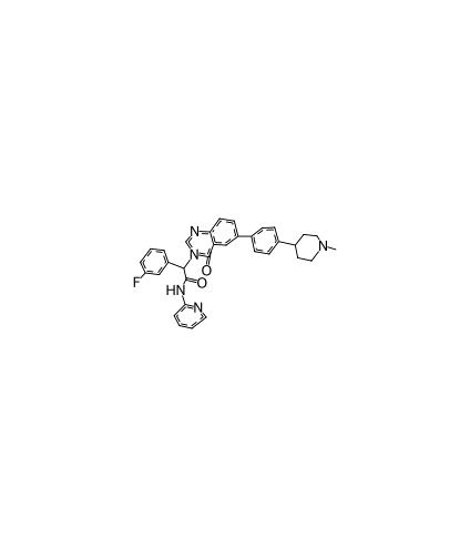 CN1CCC(c2ccc(-c3ccc4ncn(C(C(=O)Nc5ccccn5)c5cccc(F)c5)c(=O)c4c3)cc2)CC1